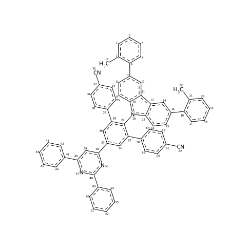 Cc1ccccc1-c1ccc2c(c1)c1cc(-c3ccccc3C)ccc1n2-c1c(-c2ccc(C#N)cc2)cc(-c2cc(-c3ccccc3)nc(-c3ccccc3)n2)cc1-c1ccc(C#N)cc1